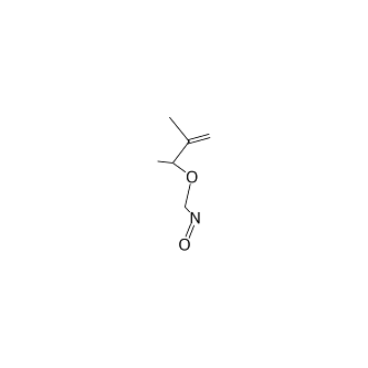 C=C(C)C(C)OCN=O